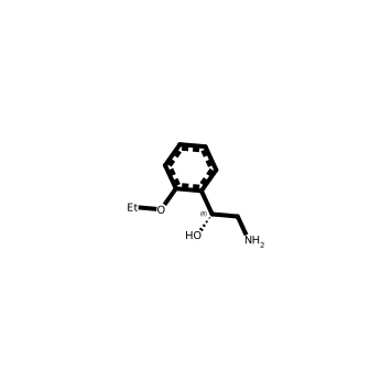 CCOc1ccccc1[C@@H](O)CN